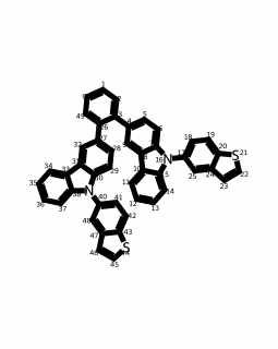 c1ccc(-c2ccc3c(c2)c2ccccc2n3-c2ccc3sccc3c2)c(-c2ccc3c(c2)c2ccccc2n3-c2ccc3sccc3c2)c1